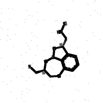 FC[C@@H]1COc2cccc3c2B(O1)O[C@@H]3CNCl